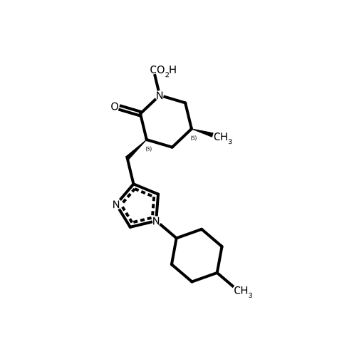 CC1CCC(n2cnc(C[C@@H]3C[C@H](C)CN(C(=O)O)C3=O)c2)CC1